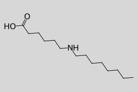 CCCCCCCCNCCCCCC(=O)O